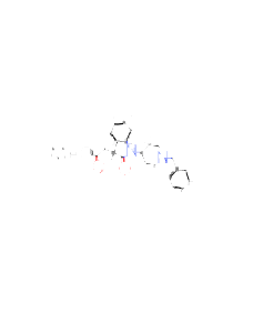 COC(=O)CC1(C)C(=O)N(C2CCN(Cc3ccccc3)CC2)c2ccccc21